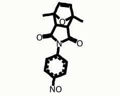 CC12C=CC(C)(O1)C1C(=O)N(c3ccc(N=O)cc3)C(=O)C12